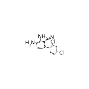 N#Cc1c(-c2ccc(Cl)cc2Cl)ccc(N)c1N